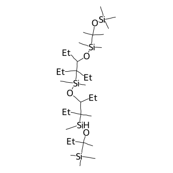 CCC(O[Si](C)(C)C(CC)(CC)C(CC)O[Si](C)(C)C(C)(C)O[Si](C)(C)C)C(C)(CC)[SiH](C)OC(C)(CC)[Si](C)(C)C